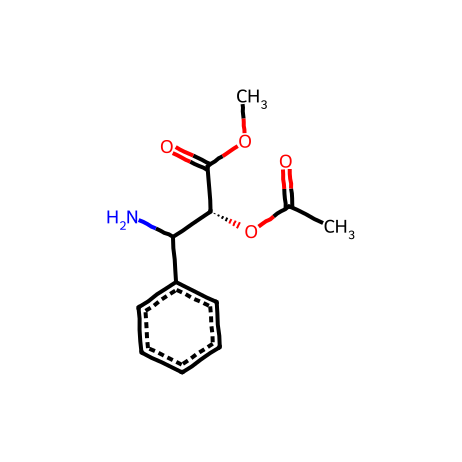 COC(=O)[C@H](OC(C)=O)C(N)c1ccccc1